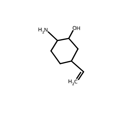 C=CC1CCC(N)C(O)C1